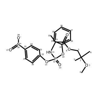 COC(C)(C)COC(=O)C(C)NP(=O)(Oc1ccccc1)Oc1ccc([N+](=O)[O-])cc1